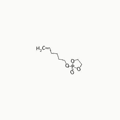 C=CCCCCOP1(=O)OCCO1